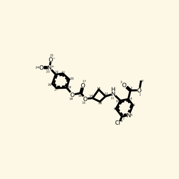 COC(=O)c1cnc(Cl)cc1NC1CC(OC(=O)Oc2ccc([N+](=O)[O-])cc2)C1